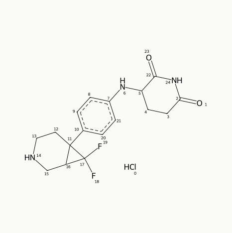 Cl.O=C1CCC(Nc2ccc(C34CCNCC3C4(F)F)cc2)C(=O)N1